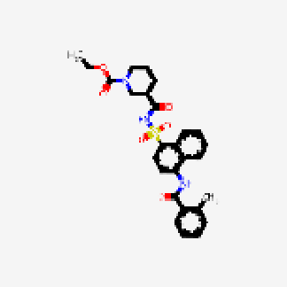 CCOC(=O)N1CCCC(C(=O)NS(=O)(=O)c2ccc(NC(=O)c3ccccc3C)c3ccccc23)C1